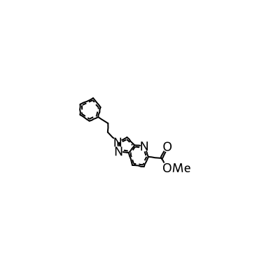 COC(=O)c1ccc2nn(CCc3ccccc3)cc2n1